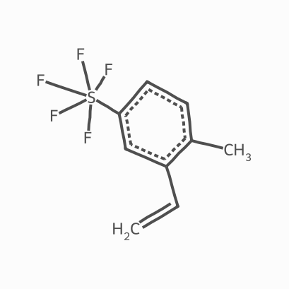 C=Cc1cc(S(F)(F)(F)(F)F)ccc1C